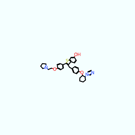 Oc1ccc2c(Cc3ccc(OC4CCCCC4n4ccnc4)cc3)c(-c3ccc(OCCN4CCCC4)cc3)sc2c1